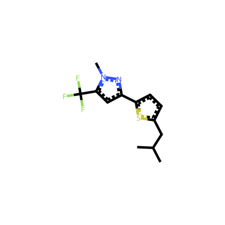 CC(C)Cc1ccc(-c2cc(C(F)(F)F)n(C)n2)s1